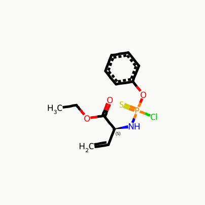 C=C[C@H](NP(=S)(Cl)Oc1ccccc1)C(=O)OCC